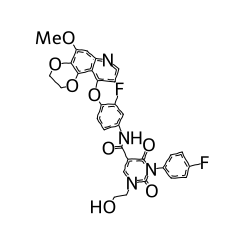 COc1cc2nccc(Oc3ccc(NC(=O)c4cn(CCO)c(=O)n(-c5ccc(F)cc5)c4=O)cc3F)c2c2c1OCCO2